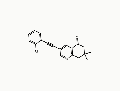 CC1(C)CC(=O)c2cc(C#Cc3ccccc3Cl)cnc2C1